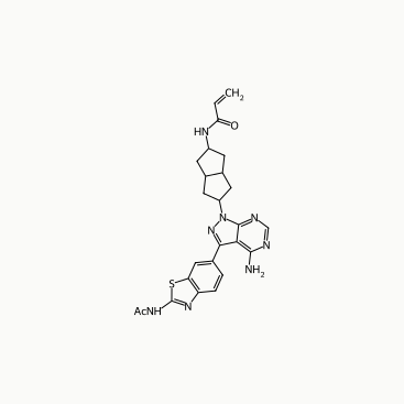 C=CC(=O)NC1CC2CC(n3nc(-c4ccc5nc(NC(C)=O)sc5c4)c4c(N)ncnc43)CC2C1